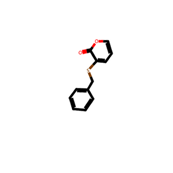 O=c1occcc1SCc1ccccc1